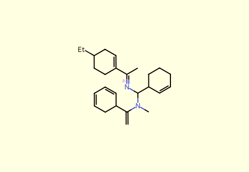 C=C(C1C=CC=CC1)N(C)C(/N=C(\C)C1=CCC(CC)CC1)C1C=CCCC1